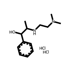 CC(NCCN(C)C)C(O)c1ccccc1.Cl.Cl